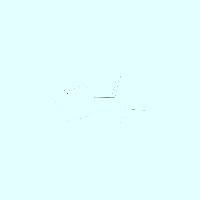 CC(C)C(=O)C1CCCNC1